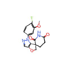 COc1cc(-n2ncc3c2C2(CCC(=O)NC2=O)CO3)ccc1F